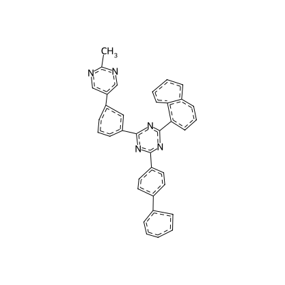 Cc1ncc(-c2cccc(-c3nc(-c4ccc(-c5ccccc5)cc4)nc(-c4cccc5ccccc45)n3)c2)cn1